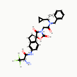 C[C@@H](C1CC1)N(Cc1ccccc1)C(=O)CN1C(=O)O[C@@]2(CCc3cc(NC(=O)[C@@H](N)C(F)(F)F)ccc32)C1=O